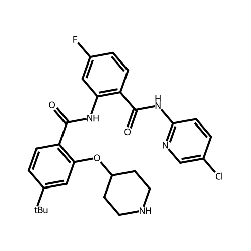 CC(C)(C)c1ccc(C(=O)Nc2cc(F)ccc2C(=O)Nc2ccc(Cl)cn2)c(OC2CCNCC2)c1